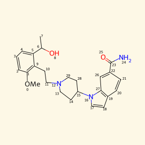 COc1cccc(C(C)O)c1CCN1CCC(n2ccc3ccc(C(N)=O)cc32)CC1